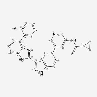 O=C(Nc1cncc(-c2cc3c(-c4nc5c(-c6ccccc6F)ccnc5[nH]4)n[nH]c3cn2)c1)C1CC1